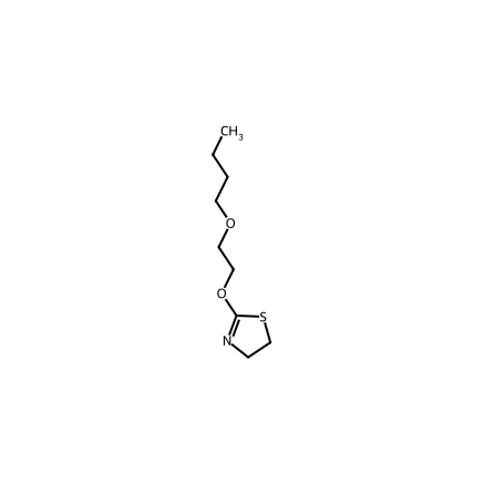 CCCCOCCOC1=NCCS1